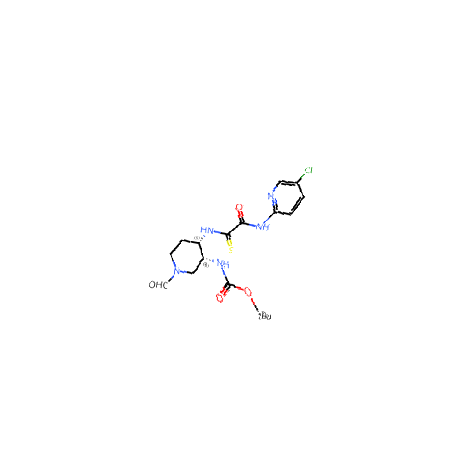 CC(C)(C)OC(=O)N[C@@H]1CN(C=O)CC[C@@H]1NC(=S)C(=O)Nc1ccc(Cl)cn1